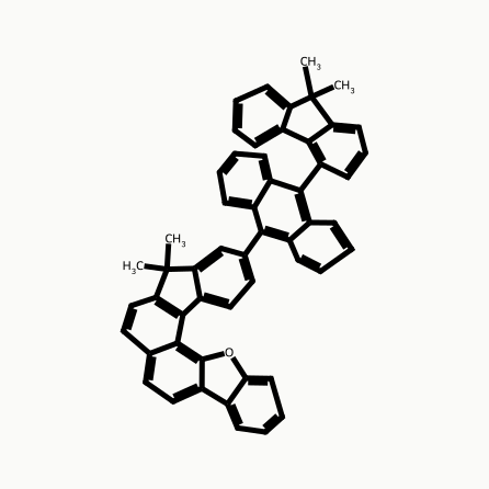 CC1(C)c2ccccc2-c2c(-c3c4ccccc4c(-c4ccc5c(c4)C(C)(C)c4ccc6ccc7c8ccccc8oc7c6c4-5)c4ccccc34)cccc21